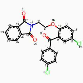 O=C(c1ccc(Cl)cc1)c1cc(Cl)ccc1OCCN1C(=O)c2ccccc2C1=O